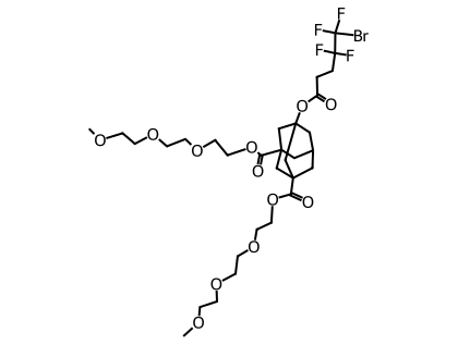 COCCOCCOCCOC(=O)C12CC3CC(OC(=O)CCC(F)(F)C(F)(F)Br)(C1)CC(C(=O)OCCOCCOCCOC)(C3)C2